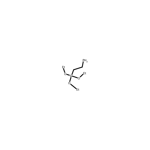 CCO[Si](CCP)(OCC)OCC